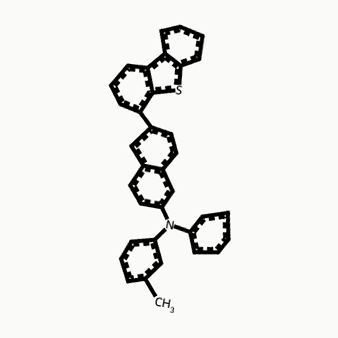 Cc1cccc(N(c2ccccc2)c2ccc3cc(-c4cccc5c4sc4ccccc45)ccc3c2)c1